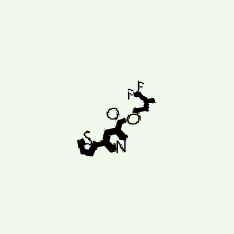 CC(CCOC(=O)c1cncc(-c2cccs2)c1)=C(F)F